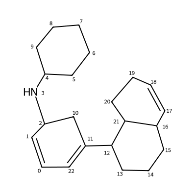 C1=CC(NC2CCCCC2)CC(C2CCCC3C=CCCC32)=C1